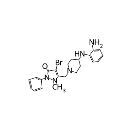 Cn1c(CN2CCC(Nc3ccccc3N)CC2)c(Br)c(=O)n1-c1ccccc1